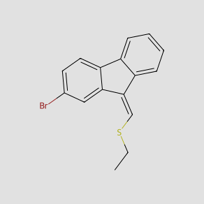 CCSC=C1c2ccccc2-c2ccc(Br)cc21